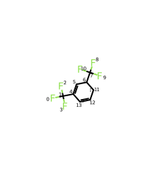 FC(F)(F)C1=CC(C(F)(F)F)[C]C=[C]1